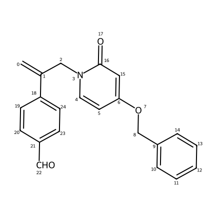 C=C(Cn1ccc(OCc2ccccc2)cc1=O)c1ccc(C=O)cc1